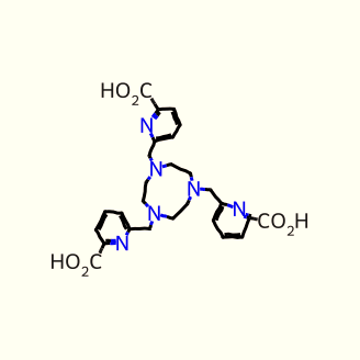 O=C(O)c1cccc(CN2CCN(Cc3cccc(C(=O)O)n3)CCN(Cc3cccc(C(=O)O)n3)CC2)n1